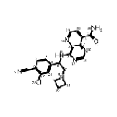 N#Cc1ccc(C(CN2CCC2)Nc2ncnc3c(C(N)=O)ccnc23)cc1Cl